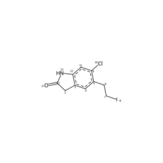 O=C1Cc2cc(CCI)c(Cl)cc2N1